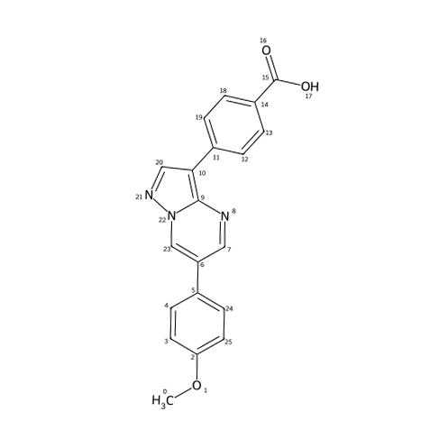 COc1ccc(-c2cnc3c(-c4ccc(C(=O)O)cc4)cnn3c2)cc1